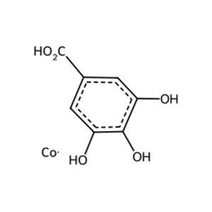 O=C(O)c1cc(O)c(O)c(O)c1.[Co]